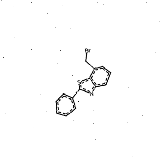 BrCc1cccc2nc(-c3ccccc3)sc12